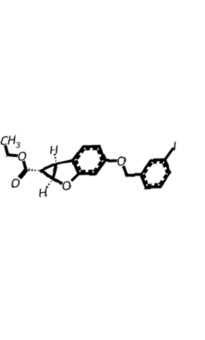 CCOC(=O)[C@H]1[C@@H]2Oc3cc(OCc4cccc(I)c4)ccc3[C@@H]21